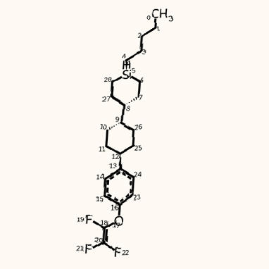 CCCCC[Si@H]1CC[C@H]([C@H]2CC[C@H](c3ccc(OC(F)=C(F)F)cc3)CC2)CC1